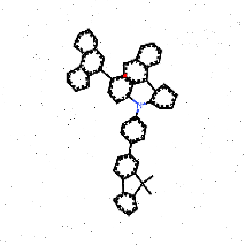 CC1(C)c2ccccc2-c2ccc(-c3ccc(N(c4ccc(-c5cc6ccccc6c6ccccc56)cc4)c4ccccc4-c4cccc5ccccc45)cc3)cc21